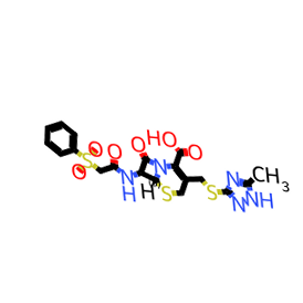 Cc1nc(SCC2=C(C(=O)O)N3C(=O)C(NC(=O)CS(=O)(=O)c4ccccc4)[C@@H]3SC2)n[nH]1